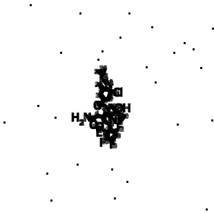 CCOc1c(CC(N)=O)cc([C@@](O)(CNC(=O)c2cc(Cl)c3nn(C4CC4)cc3c2)C2CC2)nc1-c1cc(F)c(F)cc1F